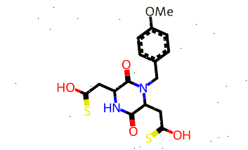 COc1ccc(CN2C(=O)C(CC(O)=S)NC(=O)C2CC(O)=S)cc1